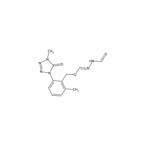 Cc1cccc(-n2nnn(C)c2=O)c1COC=NNC=O